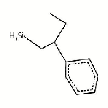 CCC(C[SiH3])c1ccccc1